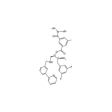 CCCN(CCC)C(=O)c1cc(C)cc(C(=O)O[C@H](CNCc2cccc(-c3ccccn3)c2)[C@@H](N)Cc2cc(F)cc(F)c2)c1